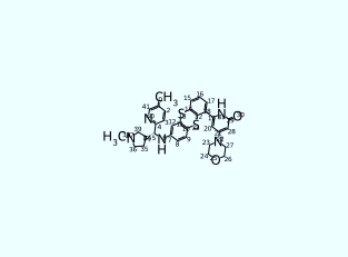 Cc1ccc(C(Nc2ccc3c(c2)Sc2cccc(-c4cc(N5CCOCC5)cc(=O)[nH]4)c2S3)[C@@H]2CCN(C)C2)nc1